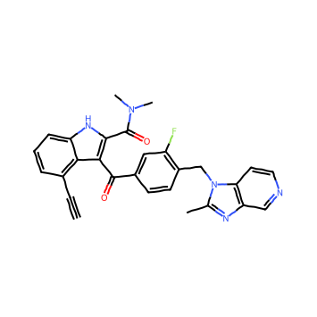 C#Cc1cccc2[nH]c(C(=O)N(C)C)c(C(=O)c3ccc(Cn4c(C)nc5cnccc54)c(F)c3)c12